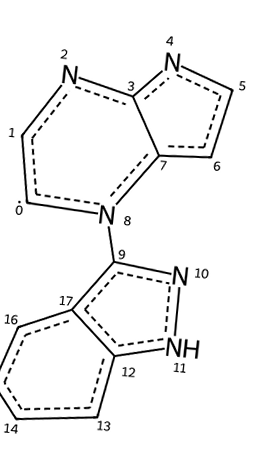 [c]1cnc2nccc-2n1-c1n[nH]c2ccccc12